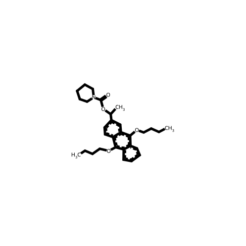 CCCCOc1c2ccccc2c(OCCCC)c2cc(C(C)OC(=O)N3CCCCC3)ccc12